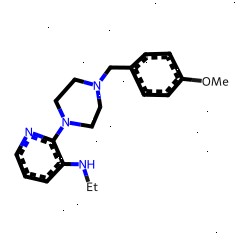 CCNc1cccnc1N1CCN(Cc2ccc(OC)cc2)CC1